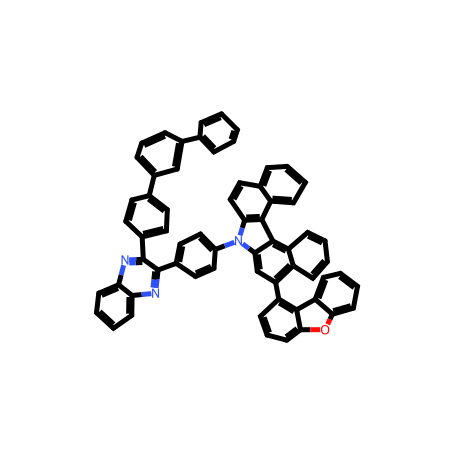 c1ccc(-c2cccc(-c3ccc(-c4nc5ccccc5nc4-c4ccc(-n5c6ccc7ccccc7c6c6c7ccccc7c(-c7cccc8oc9ccccc9c78)cc65)cc4)cc3)c2)cc1